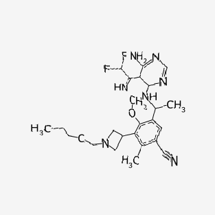 CCCCCN1CC(c2c(C)c(C#N)cc(C(C)NC3N=CN=C(N)C3C(=N)C(F)F)c2OC)C1